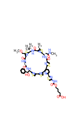 CNC(=O)C[C@@H]1NC(=O)c2csc(n2)-c2ccc(-c3nc(NC(=O)OCCCCC(=O)O)cs3)nc2-c2csc(n2)-c2csc(n2)[C@H]([C@@H](O)c2ccccc2)NC(=O)CNC(=O)c2nc(sc2COC)[C@H](C(C)C)NC(=O)c2nc1sc2C